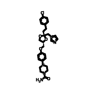 NC(=O)N1CCN(c2ccc(OC[C@@H]3CO[C@](CCc4ccc(Cl)cc4)(Cn4ccnc4)O3)cc2)CC1